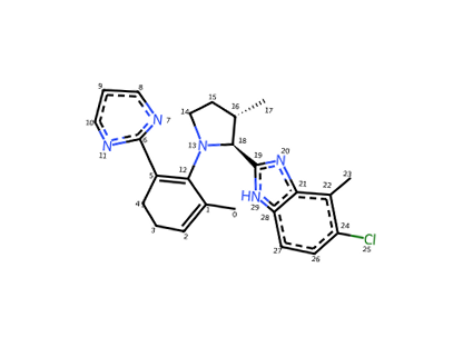 CC1=CC[CH]C(c2ncccn2)=C1N1CC[C@H](C)[C@H]1c1nc2c(C)c(Cl)ccc2[nH]1